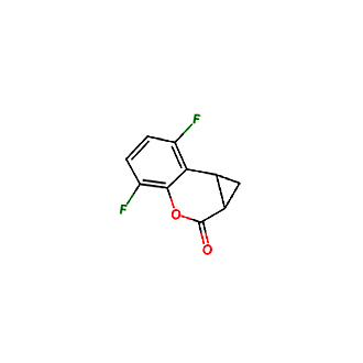 O=C1Oc2c(F)ccc(F)c2C2CC12